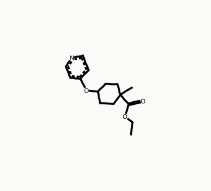 CCOC(=O)C1(C)CCC(Oc2ccncc2)CC1